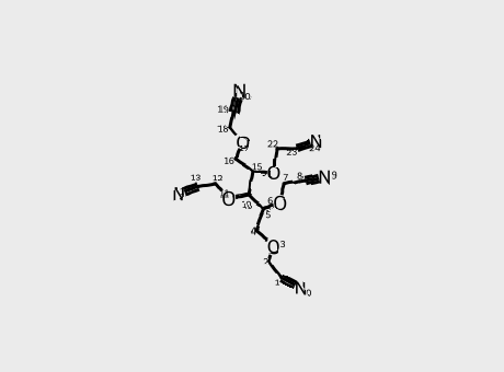 N#CCOCC(OCC#N)C(OCC#N)C(COCC#N)OCC#N